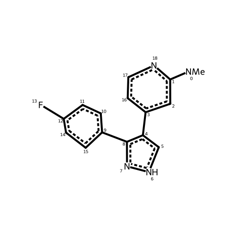 CNc1cc(-c2c[nH]nc2-c2ccc(F)cc2)ccn1